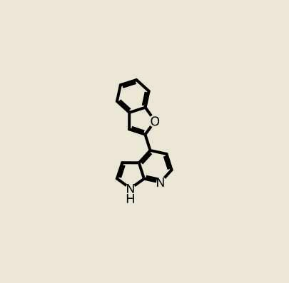 c1ccc2oc(-c3ccnc4[nH]ccc34)cc2c1